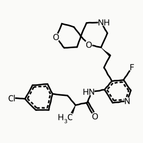 C[C@@H](Cc1ccc(Cl)cc1)C(=O)Nc1cncc(F)c1CC[C@@H]1CNCC2(CCOCC2)O1